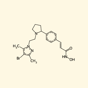 Cc1nn(CCN2CCCC2c2ccc(C=CC(=O)NO)cc2)c(C)c1Br